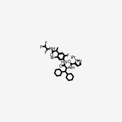 CC(C(=O)NC(F)C(F)F)c1cc(F)c(NC(=O)[C@@H](NC(=O)c2ccnn2C(C)C)C(C2CCCCC2)C2CCCCC2)cc1Br